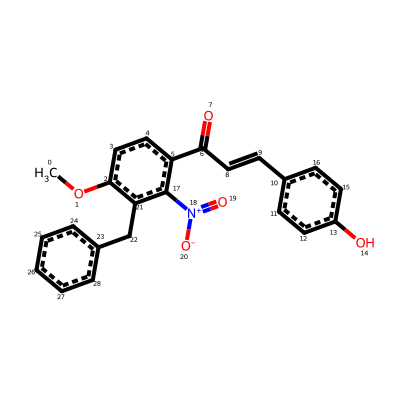 COc1ccc(C(=O)/C=C/c2ccc(O)cc2)c([N+](=O)[O-])c1Cc1ccccc1